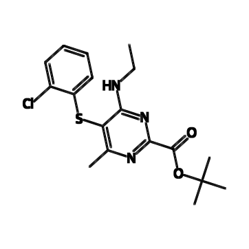 CCNc1nc(C(=O)OC(C)(C)C)nc(C)c1Sc1ccccc1Cl